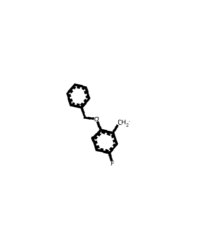 [CH2]c1cc(F)ccc1OCc1ccccc1